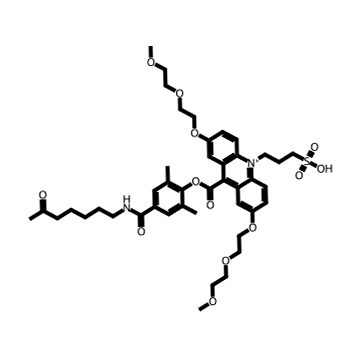 COCCOCCOc1ccc2c(c1)c(C(=O)Oc1c(C)cc(C(=O)NCCCCCC(C)=O)cc1C)c1cc(OCCOCCOC)ccc1[n+]2CCCS(=O)(=O)O